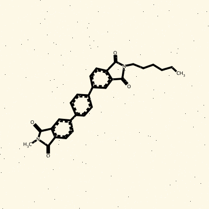 CCCCCCN1C(=O)c2ccc(-c3ccc(-c4ccc5c(c4)C(=O)N(C)C5=O)cc3)cc2C1=O